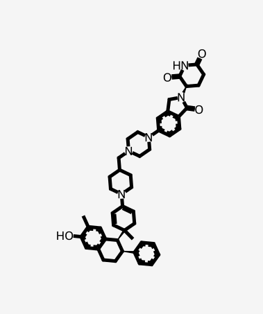 Cc1cc2c(cc1O)CC[C@H](c1ccccc1)[C@@H]2C1(C)C=CC(N2CCC(CN3CCN(c4ccc5c(c4)CN([C@@H]4CCC(=O)NC4=O)C5=O)CC3)CC2)=CC1